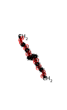 C=CC(=O)OCOc1ccc(C(=O)OC2CCC(OC(=O)Oc3cccc4c3C3(CC4)CCc4cccc(OC(=O)OC5CCC(OC(=O)c6ccc(OCOC(=O)C=C)cc6)CC5)c43)CC2)cc1